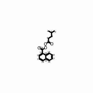 CC(C)CCC(=O)OOC(=O)c1cccc2ccccc12